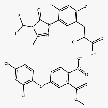 COC(=O)c1cc(Oc2ccc(Cl)cc2Cl)ccc1[N+](=O)[O-].Cc1nn(-c2cc(CC(Cl)C(=O)O)c(Cl)cc2F)c(=O)n1C(F)F